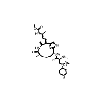 C=C1NC(=O)[C@H](C)CCC[C@H](NC(=O)C(N)CN(NC)C2CCNCC2)c2nc(c[nH]2)/C1=C/C=C(\C)NC(=O)OC